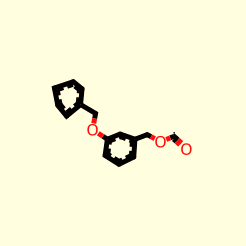 O=[C]OCc1cccc(OCc2ccccc2)c1